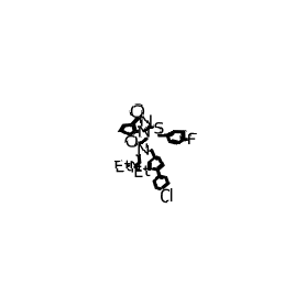 CCN(CC)CCN(Cc1ccc(-c2ccc(Cl)cc2)cc1)C(=O)Cn1c(SCc2ccc(F)cc2)nc(=O)c2c1CCC2